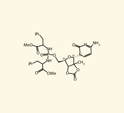 COC(=O)C(CC(C)C)NP(=O)(NC(CC(C)C)C(=O)OC)OC[C@H]1O[C@H](n2ccc(N)nc2=O)C2(C)OC(=O)OC12